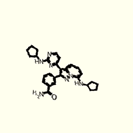 NC(=O)c1cccc(-c2nn3c(NC4CCCC4)cccc3c2-c2ccnc(NC3CCCC3)n2)c1